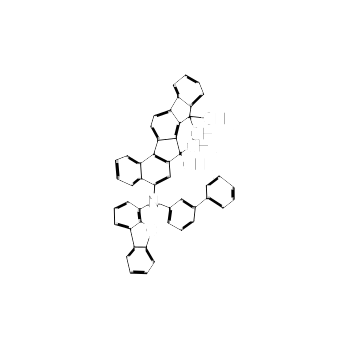 CC1(C)c2ccccc2-c2ccc3c(c21)C(C)(C)c1cc(N(c2cccc(-c4ccccc4)c2)c2cccc4c2oc2ccccc24)c2ccccc2c1-3